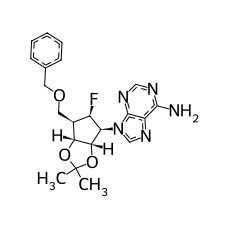 CC1(C)O[C@@H]2[C@@H](COCc3ccccc3)[C@@H](F)[C@@H](n3cnc4c(N)ncnc43)[C@@H]2O1